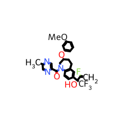 C=C(F)C(O)(c1ccc2c(c1)CC[C@H](Oc1cccc(OC)c1)CN2C(=O)c1cnc(C)cn1)C(F)(F)F